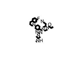 C=CC(=O)N1CCN(c2nc(N3CC(NC)C3)nc3c2CCC(N2CCCc4ccc(F)cc42)C3)CC1CC#N